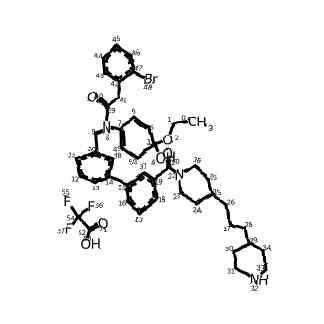 CCOC1(O)C=CC(N(Cc2cccc(-c3cccc(C(=O)N4CCC(CCCC5CCNCC5)CC4)c3)c2)C(=O)Cc2ccccc2Br)=CC1.O=C(O)C(F)(F)F